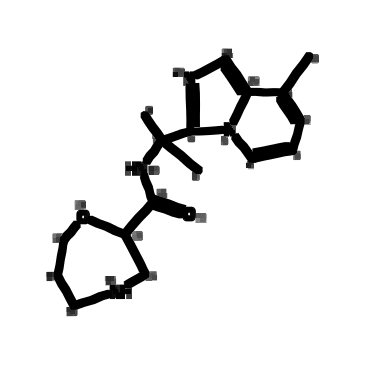 Cc1cccn2c(C(C)(C)NC(=O)C3CNCCCO3)ncc12